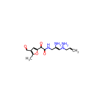 C=CCN(N)/C=C(\N)CNC(=O)C(=O)c1cc(C=O)c(C)o1